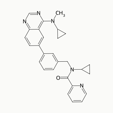 CN(c1ncnc2ccc(-c3cccc(CN(C(=O)c4ccccn4)C4CC4)c3)cc12)C1CC1